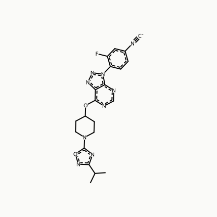 [C-]#[N+]c1ccc(-n2nnc3c(OC4CCN(c5nc(C(C)C)no5)CC4)ncnc32)c(F)c1